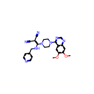 COc1cc2ncnc(N3CCN(C(NCc4ccncc4)=C(C#N)C#N)CC3)c2cc1OC